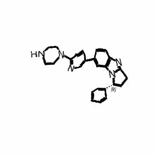 c1ccc([C@H]2CCc3nc4ccc(-c5ccc(N6CCNCC6)nc5)cc4n32)cc1